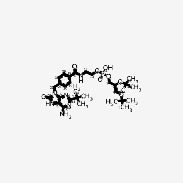 CC(C)(C)OCC(COP(=O)(O)OCCNC(=O)c1ccc(Cn2c(=O)[nH]c3c(N)nc(C(C)(C)C)nc32)cc1)OC(C)(C)C